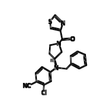 N#Cc1ccc(N(Cc2ccccc2)[C@H]2CCN(C(=O)c3cscn3)C2)cc1Cl